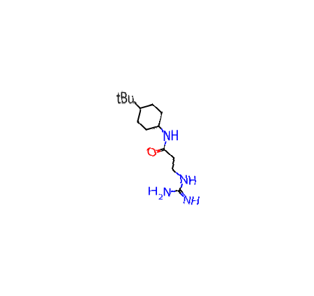 CC(C)(C)C1CCC(NC(=O)CCNC(=N)N)CC1